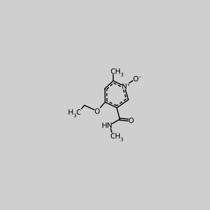 CCOc1cc(C)[n+]([O-])cc1C(=O)NC